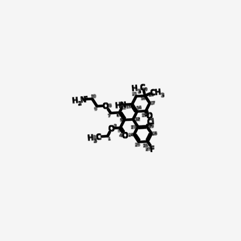 CCOC(=O)C1=C(COCCN)NC2=C(C(=O)CC(C)(C)C2)C1c1ccc(F)cc1Cl